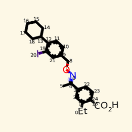 CCc1cc(/C(C)=N/OCc2ccc(C3CCCCC3)c(I)c2)ccc1C(=O)O